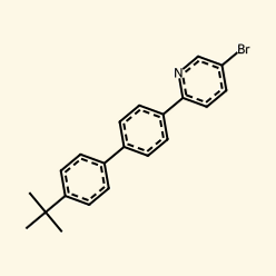 CC(C)(C)c1ccc(-c2ccc(-c3ccc(Br)cn3)cc2)cc1